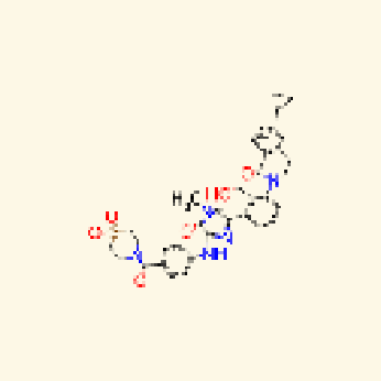 Cn1cc(-c2cccc(N3CCc4cc(C5CC5)ccc4C3=O)c2CO)nc(Nc2ccc(C(=O)N3CCS(=O)(=O)CC3)cc2)c1=O